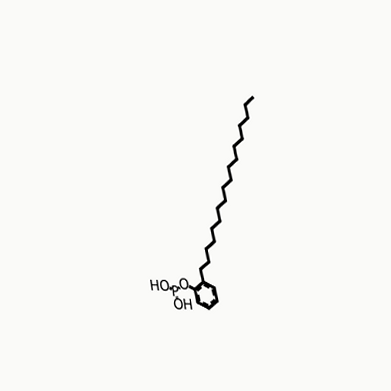 CCCCCCCCCCCCCCCCCCc1ccccc1OP(O)O